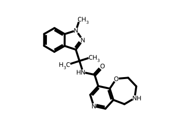 Cn1nc(C(C)(C)NC(=O)c2cncc3c2OCCNC3)c2ccccc21